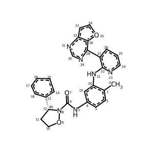 Cc1ccc(NC(=O)N2OCC[C@@H]2c2ccccc2)cc1Nc1ncccc1-c1ncnc2ccoc12